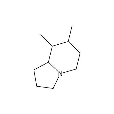 CC1CCN2CCCC2C1C